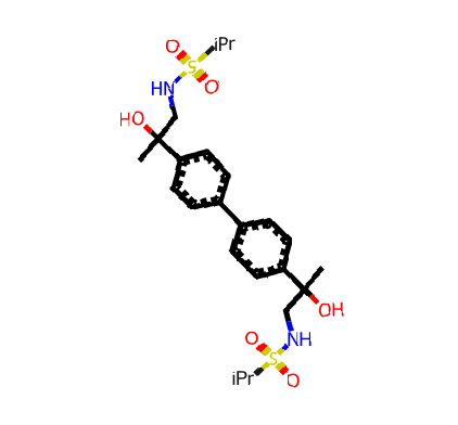 CC(C)S(=O)(=O)NCC(C)(O)c1ccc(-c2ccc(C(C)(O)CNS(=O)(=O)C(C)C)cc2)cc1